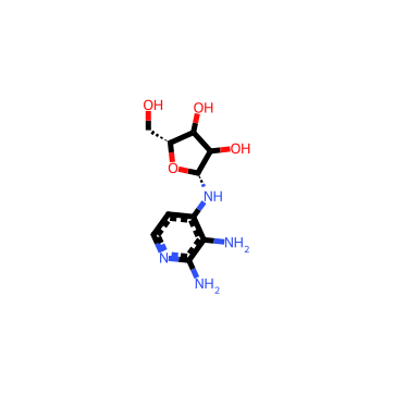 Nc1nccc(N[C@@H]2O[C@H](CO)C(O)C2O)c1N